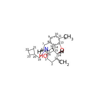 C=C1CC[C@]2(O)[C@@H]3Cc4ccc(C)c5c4[C@]2(CCN3CC2CCC2)[C@@H]1O5